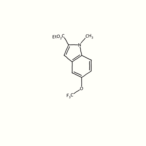 CCOC(=O)c1cc2cc(OC(F)(F)F)ccc2n1C